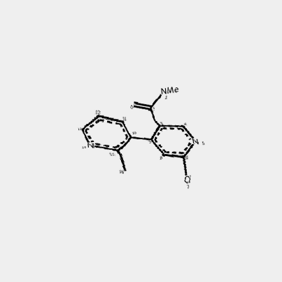 C=C(NC)c1cnc(Cl)cc1-c1cccnc1C